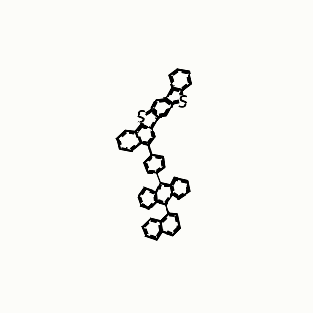 c1ccc2c(-c3c4ccccc4c(-c4ccc(-c5cc6c7cc8sc9ccccc9c8cc7sc6c6ccccc56)cc4)c4ccccc34)cccc2c1